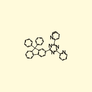 c1ccc(-c2nc(-c3ccc4c(c3)C(c3ccccc3)(c3ccccc3)c3ccccc3-4)nc(-c3ccccn3)n2)nc#1